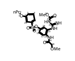 CCCOc1cccc(S(=O)(=O)Oc2ccc(NC(=O)COC)c(NC(=N)NC(=O)OC)c2)c1